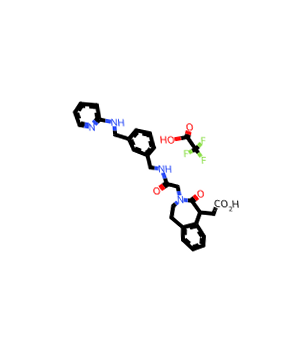 O=C(O)C(F)(F)F.O=C(O)CC1C(=O)N(CC(=O)NCc2cccc(CNc3ccccn3)c2)CCc2ccccc21